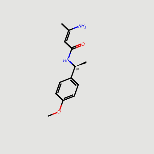 COc1ccc([C@H](C)NC(=O)C=C(C)N)cc1